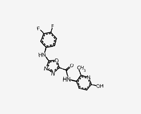 Cc1nc(O)ccc1NC(=O)c1nnc(Nc2ccc(F)c(F)c2)o1